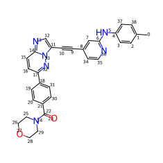 Cc1ccc(Nc2cc(C#Cc3cnc4ccc(-c5ccc(C(=O)N6CCOCC6)cc5)nn34)ccn2)cc1